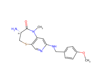 COc1ccc(CNc2cc3c(cn2)SC[C@H](N)C(=O)N3C)cc1